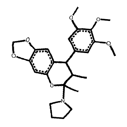 COc1cc(C2c3cc4c(cc3OC(C)(N3CCCC3)C2C)OCO4)cc(OC)c1OC